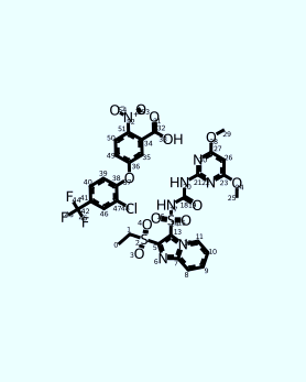 CCS(=O)(=O)c1nc2ccccn2c1S(=O)(=O)NC(=O)Nc1nc(OC)cc(OC)n1.O=C(O)c1cc(Oc2ccc(C(F)(F)F)cc2Cl)ccc1[N+](=O)[O-]